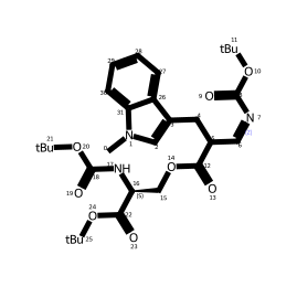 Cn1cc(CC(/C=N\C(=O)OC(C)(C)C)C(=O)OC[C@H](NC(=O)OC(C)(C)C)C(=O)OC(C)(C)C)c2ccccc21